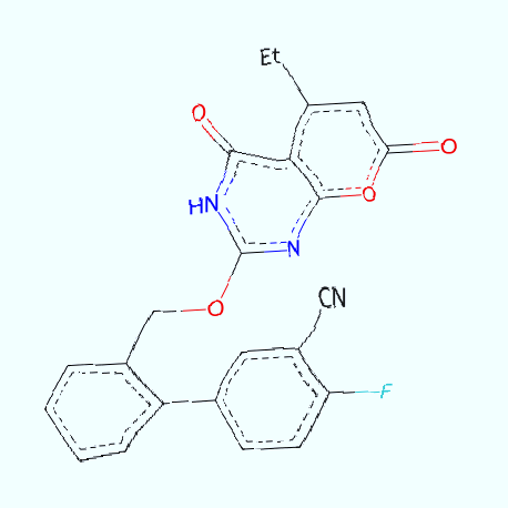 CCc1cc(=O)oc2nc(OCc3ccccc3-c3ccc(F)c(C#N)c3)[nH]c(=O)c12